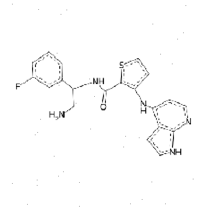 NCC(NC(=O)c1sccc1Nc1ccnc2[nH]ccc12)c1cccc(F)c1